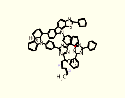 C=C(/C=C\C=C/C)c1nc(-c2ccccc2)nc(-c2ccc(N3c4ccccc4[C@H]4C=CC=C(c5ccc6c(c5)c5ccc7nc(-c8ccccc8)sc7c5n6-c5ccc(-c6nc(-c7ccccc7)nc(-c7ccccc7)n6)cc5)C43)cc2)n1